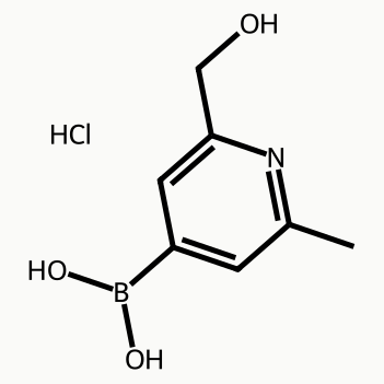 Cc1cc(B(O)O)cc(CO)n1.Cl